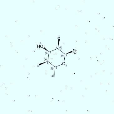 CC[C@H]1O[C@H](C)[C@@H](C)[C@@H](O)[C@H]1C